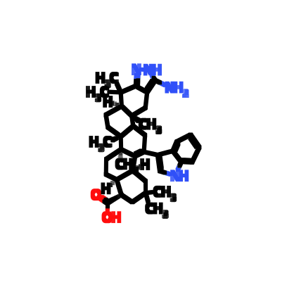 CC1(C)C[C@@H]2C3=C(c4c[nH]c5ccccc45)CC4[C@@]5(C)Cc6c(n[nH]c6N)C(C)(C)[C@@H]5CC[C@@]4(C)[C@]3(C)CC[C@@H]2[C@H](C(=O)O)C1